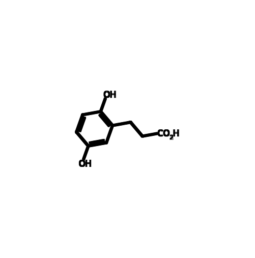 O=C(O)CCc1cc(O)ccc1O